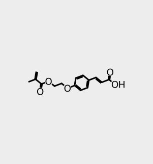 C=C(C)C(=O)OCCOc1ccc(/C=C/C(=O)O)cc1